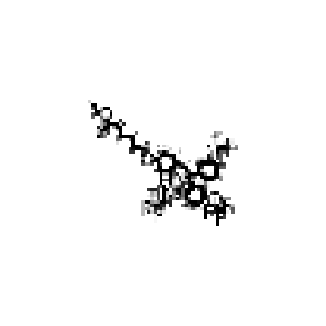 CCOC(=O)CCCCCOc1ccc(CC(NC(=O)NCC(F)(F)F)(c2cccc(OC(F)(F)F)c2)c2cccc(OC(F)(F)F)c2)cc1